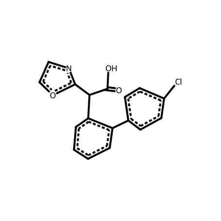 O=C(O)C(c1ncco1)c1ccccc1-c1ccc(Cl)cc1